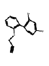 C#CCOc1[c]cccc1-c1ccc(F)cc1Br